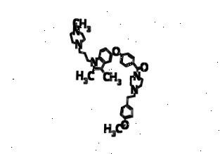 COc1ccc(CCN2CCN(C(=O)c3ccc(Oc4ccc5c(c4)c(C)c(C)n5CCCN4CCN(C)CC4)cc3)CC2)cc1